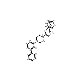 CC1(NC(=O)N2CCN(c3nccc(-c4ccccc4)n3)CC2)CCN2CCC1CC2